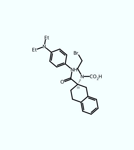 CCN(CC)c1ccc(NC(=O)[C@]2(N(CCBr)C(=O)O)CCc3ccccc3C2)cc1